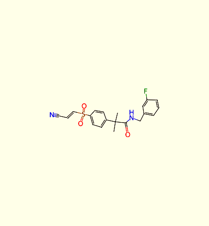 CC(C)(C(=O)NCc1cccc(F)c1)c1ccc(S(=O)(=O)C=CC#N)cc1